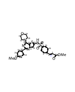 COC(=O)/C=C/c1ccc(S(=O)(=O)Nc2cc3nc(-c4ccc(OC)nc4)nc(N4CCOCC4)c3s2)cc1